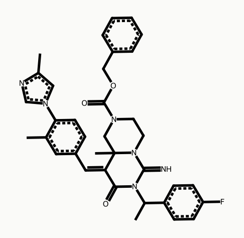 Cc1cn(-c2ccc(/C=C3/C(=O)N(C(C)c4ccc(F)cc4)C(=N)N4CCN(C(=O)OCc5ccccc5)CC34C)cc2C)cn1